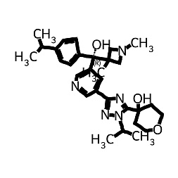 CC(C)c1ccc([C@](O)(c2cncc(-c3nc(C4(O)CCOCC4)n(C(C)C)n3)c2)C2(C)CN(C)C2)cc1